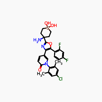 Cc1cc(Cl)cc(C)c1-n1cc(-c2nc(C3(N)CCS(O)(O)CC3)oc2-c2ccc(F)cc2F)ccc1=O